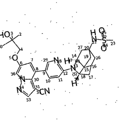 CC(C)(O)COc1cc(-c2ccc(N3[C@@H]4CC5C[C@H]3CC(NS(C)(=O)=O)(C5)C4)nc2)c2c(C#N)cnn2c1